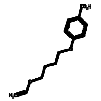 C=COCCCCOc1ccc(C(=O)O)cc1